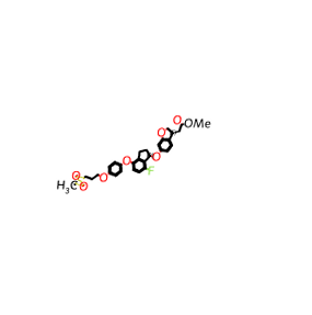 COC(=O)C[C@@H]1COc2cc(O[C@@H]3CCc4c(Oc5ccc(OCCCS(C)(=O)=O)cc5)ccc(F)c43)ccc21